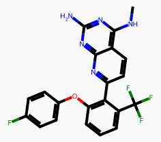 CNc1nc(N)nc2nc(-c3c(Oc4ccc(F)cc4)cccc3C(F)(F)F)ccc12